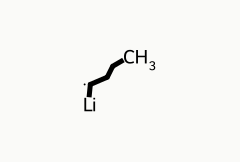 [Li][CH]CCC